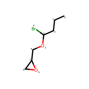 CCCC(Br)OCC1CO1